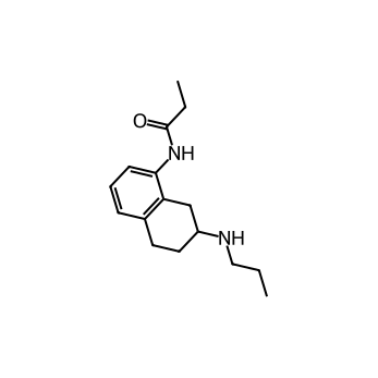 CCCNC1CCc2cccc(NC(=O)CC)c2C1